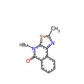 CCCCn1c(=O)c2ccccc2c2nc(C)sc21